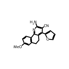 COc1ccc2c(c1)CCc1c-2nc(N)c(C#N)c1-c1ccco1